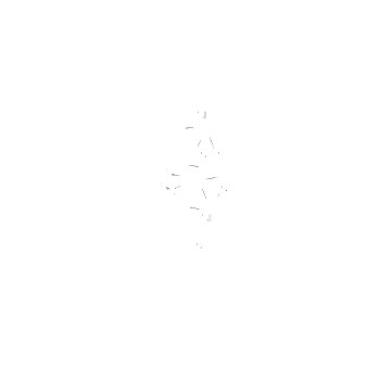 Cc1ncc(C(=O)NCCN2CCCC2(C)C)cc1-c1c(-c2cnn(C)n2)sc2c(C(N)=O)cnn12